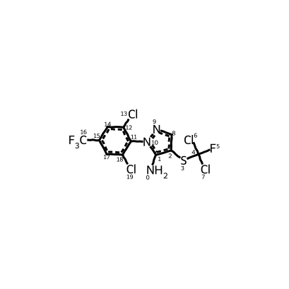 Nc1c(SC(F)(Cl)Cl)cnn1-c1c(Cl)cc(C(F)(F)F)cc1Cl